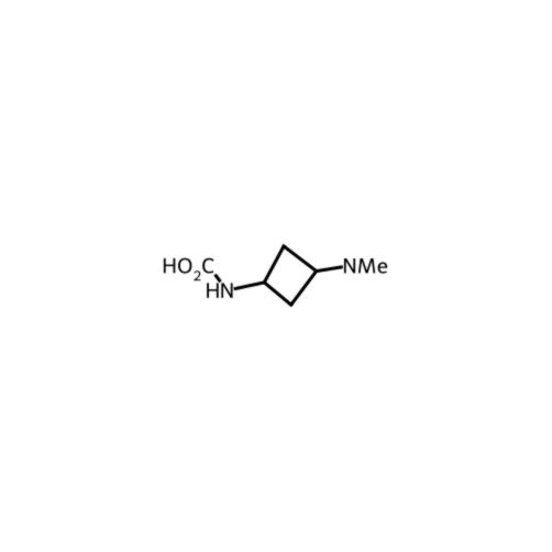 CNC1CC(NC(=O)O)C1